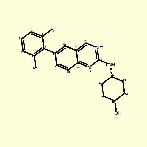 Cc1cccc(C)c1-c1ccc2nc(N[C@H]3CC[C@H](O)CC3)ncc2c1